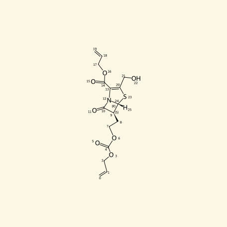 C=CCOC(=O)OCC[C@H]1C(=O)N2C(C(=O)OCC=C)=C(CO)S[C@H]12